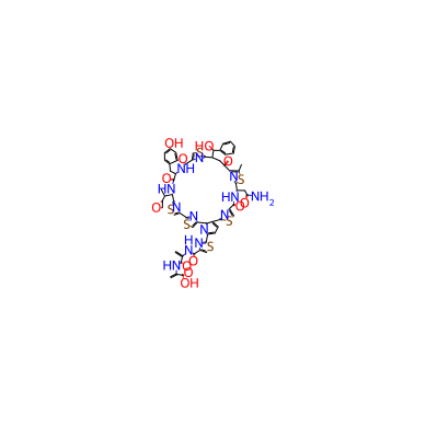 C=C(NC(=O)C(=C)NC(=O)c1csc(-c2ccc3c(n2)-c2csc(n2)-c2csc(n2)C(C(C)C2CO2)NC(=O)C(Cc2ccc(O)cc2)NC(=O)c2csc(n2)C(C(O)c2ccccc2)CC(=O)c2nc(sc2C)C(CC(N)=O)NC(=O)c2csc-3n2)n1)C(=O)O